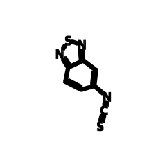 S=C=Nc1ccc2nsnc2c1